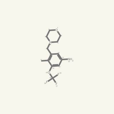 Cc1c(CN2CCOCC2)cc(N)cc1OC(F)(F)F